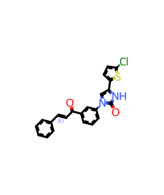 O=C(/C=C/c1ccccc1)c1cccc(-n2cc(-c3ccc(Cl)s3)[nH]c2=O)c1